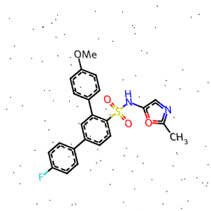 COc1ccc(-c2cc(-c3ccc(F)cc3)ccc2S(=O)(=O)Nc2cnc(C)o2)cc1